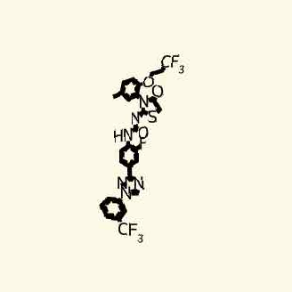 Cc1ccc(OCCC(F)(F)F)c(N2C(=O)CSC2=NC(=O)Nc2ccc(-c3ncn(-c4cccc(C(F)(F)F)c4)n3)cc2F)c1